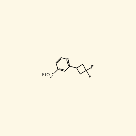 CCOC(=O)c1ccnc(C2CC(F)(F)C2)c1